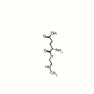 CNCCOC(=O)[C@H](N)CCC(=O)O